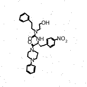 O=C(N[C@@H](Cc1ccc([N+](=O)[O-])cc1)C(=O)N1CCN(c2ccccc2)CC1)N(CCO)CCc1ccccc1